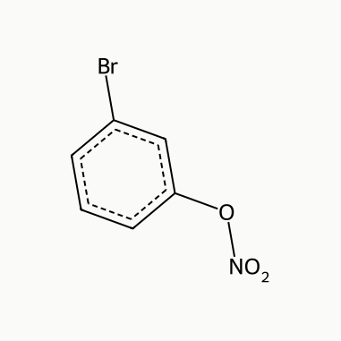 O=[N+]([O-])Oc1cccc(Br)c1